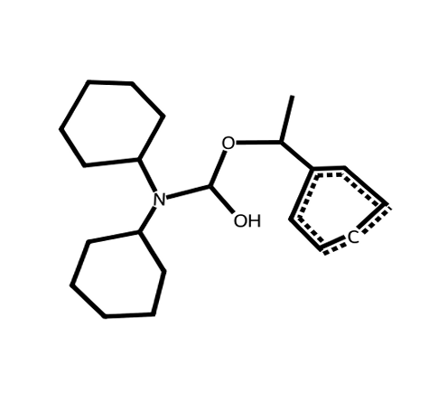 CC(OC(O)N(C1CCCCC1)C1CCCCC1)c1ccccc1